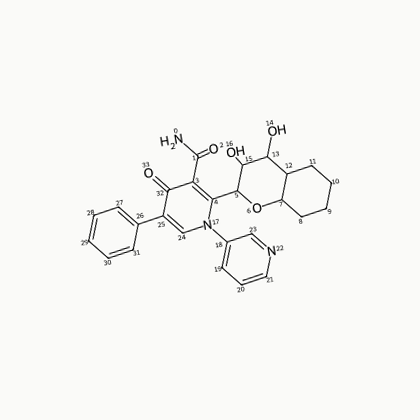 NC(=O)c1c(C2OC3CCCCC3C(O)C2O)n(-c2cccnc2)cc(-c2ccccc2)c1=O